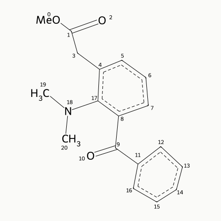 COC(=O)Cc1cccc(C(=O)c2ccccc2)c1N(C)C